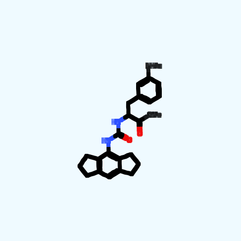 COC(=O)C(Cc1cccc(NC(C)=O)c1)NC(=O)Nc1c2c(cc3c1CCC3)CCC2